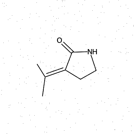 CC(C)=C1CCNC1=O